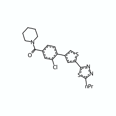 CCCc1nnc(-c2cc(-c3ccc(C(=O)N4CCCCC4)cc3Cl)cs2)s1